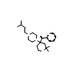 CC(C)CCN1CCN(C2(C(=O)c3ccccn3)CCOC(C)(C)C2)CC1